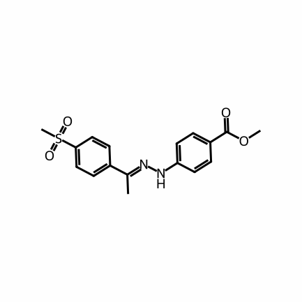 COC(=O)c1ccc(N/N=C(\C)c2ccc(S(C)(=O)=O)cc2)cc1